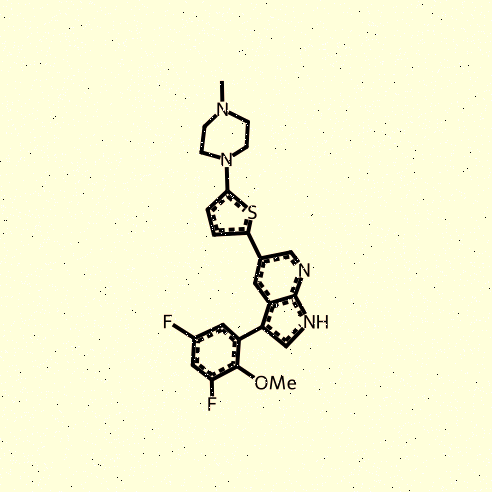 COc1c(F)cc(F)cc1-c1c[nH]c2ncc(-c3ccc(N4CCN(C)CC4)s3)cc12